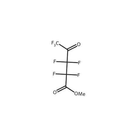 COC(=O)C(F)(F)C(F)(F)C(=O)C(F)(F)F